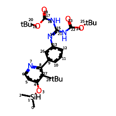 C[SiH](C)Oc1ccnc(-c2cccc(N=C(NC(=O)OC(C)(C)C)NC(=O)OC(C)(C)C)c2)c1C(C)(C)C